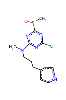 CN(CCCc1ccncc1)c1nc(Cl)nc([S+](C)[O-])n1